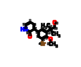 COc1c(Br)cc(-c2ccc[nH]c2=O)cc1C(C)(C)C=O